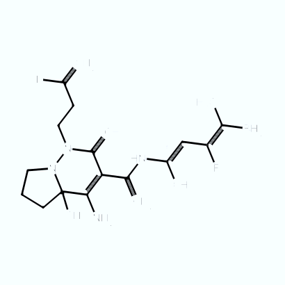 B/C(C)=C(F)/C=C(\C)NC(=C)C1=C(N)C2(C)CCCN2N(CCC(=C)F)C1=C